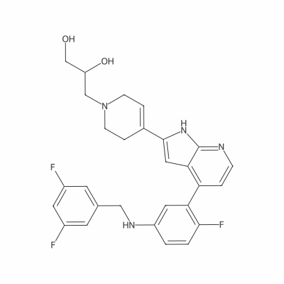 OCC(O)CN1CC=C(c2cc3c(-c4cc(NCc5cc(F)cc(F)c5)ccc4F)ccnc3[nH]2)CC1